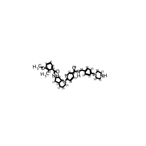 COc1cccc(C(=O)NC2CC3CCCN(c4ccc(C(=O)NCc5ccc(N6CCNCC6)cc5)cn4)C3C2)c1C